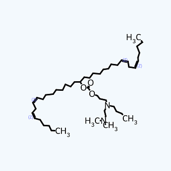 CCCCC/C=C\C/C=C\CCCCCCCCC(CCCCCCCC/C=C\C/C=C\CCCCC)OC(=O)OCCCN(CCCC)CCN(C)C